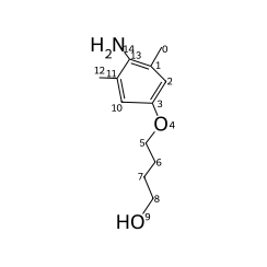 Cc1cc(OCCCCO)cc(C)c1N